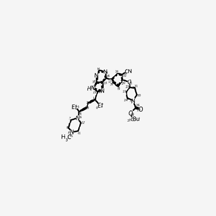 CC/C(=C\C=C(/CC)N1CCN(C)CC1)c1nc2c(-c3ccc(OC4CCN(C(=O)OC(C)(C)C)CC4)c(C#N)c3)ncnc2[nH]1